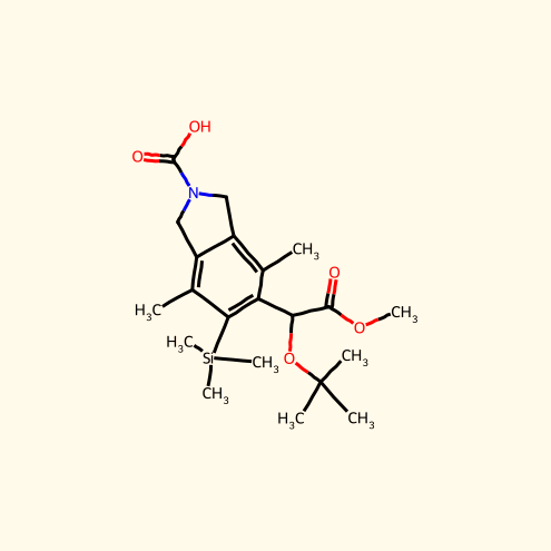 COC(=O)C(OC(C)(C)C)c1c(C)c2c(c(C)c1[Si](C)(C)C)CN(C(=O)O)C2